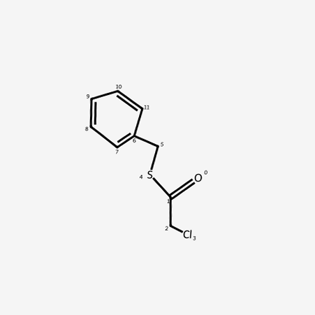 O=C(CCl)SCc1ccccc1